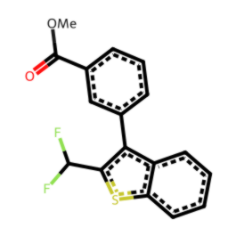 COC(=O)c1cccc(-c2c(C(F)F)sc3ccccc23)c1